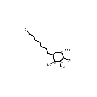 CCOCCCCCCN1C[C@H](O)C(O)[C@@H](O)[C@H]1C